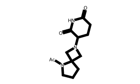 CC(=O)N1CCCC12CN(C1CCC(=O)NC1=O)C2